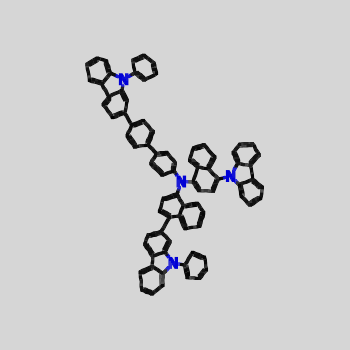 c1ccc(-n2c3ccccc3c3ccc(-c4ccc(-c5ccc(N(c6ccc(-c7ccc8c9ccccc9n(-c9ccccc9)c8c7)c7ccccc67)c6ccc(-n7c8ccccc8c8ccccc87)c7ccccc67)cc5)cc4)cc32)cc1